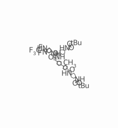 Cc1cc(C(=O)N[C@H]2CC[C@H](NC(=O)OC(C)(C)C)CC2)ccc1-c1ccc(C[C@H](NC(=O)[C@H]2CC[C@H](CNC(=O)OC(C)(C)C)CC2)C(=O)Nc2ccc3[nH]c(C(F)(F)C(F)(F)F)nc3c2)cc1